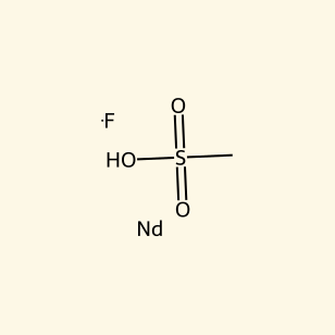 CS(=O)(=O)O.[F].[Nd]